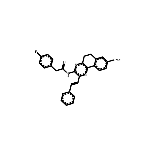 COc1ccc2c(c1)CCc1nc(NC(=O)Cc3ccc(F)cc3)c(/C=C/c3ccccc3)nc1-2